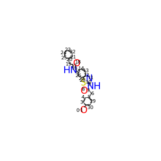 COc1ccc(CC(=O)Nc2nc3ccc(NC(=O)Cc4ccccc4)cc3s2)cc1